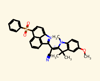 COc1ccc2c(c1)C(C)(C)/C(=C(\C#N)C1=Nc3ccc(S(=O)(=O)c4ccccc4)c4cccc1c34)N2C